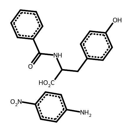 Nc1ccc([N+](=O)[O-])cc1.O=C(NC(Cc1ccc(O)cc1)C(=O)O)c1ccccc1